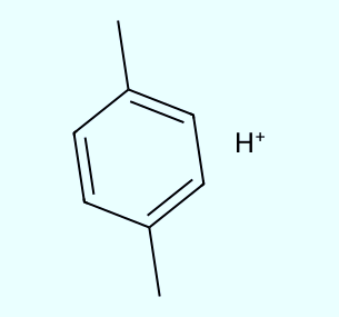 Cc1ccc(C)cc1.[H+]